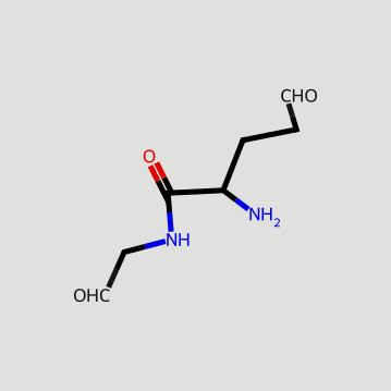 NC(CCC=O)C(=O)NCC=O